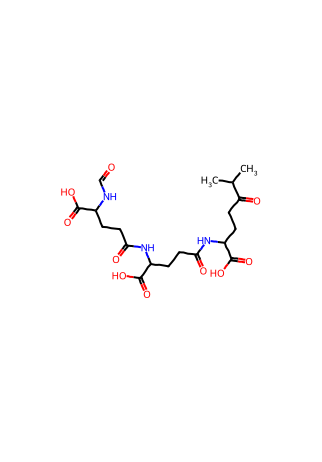 CC(C)C(=O)CCC(NC(=O)CCC(NC(=O)CCC(NC=O)C(=O)O)C(=O)O)C(=O)O